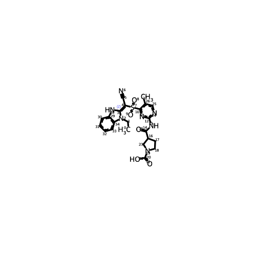 CCN1/C(=C(/C#N)S(=O)(=O)c2nc(NC(=O)C3CCN(C(=O)O)C3)ncc2C)Nc2ccccc21